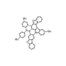 CC(C)(C)c1ccc(N2B3c4cc5oc6ccccc6c5cc4-n4c5ccc(C(C)(C)C)cc5c5c6c(oc7ccccc76)c(c3c54)-c3cc(C(C)(C)C)ccc32)cc1